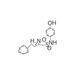 NC(CCc1ccccc1)CS(=O)(=O)Nc1ccc(O)cc1